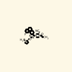 C=CC(=O)N1CCN(c2nc(OC[C@@H]3CCCN3C)nc3c2CCC2(CCCc4ccc(F)cc42)C3)C[C@@H]1CC#N